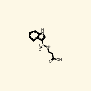 O=C(O)CCN[PH](=O)c1c[nH]c2ccccc12